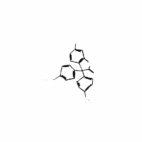 Cc1ccc(C2(c3ccc(C)cc3)C(=O)Oc3cc(O)ccc32)cc1